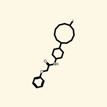 O=C(COc1ccccc1)NC1CCC(C2CCCCCC(I)CCCC2)CC1